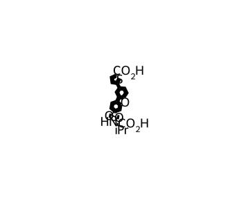 CC(C)C(NS(=O)(=O)c1ccc2c(c1)oc1ccc(-c3ccc(C(=O)O)s3)cc12)C(=O)O